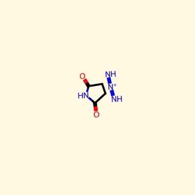 N=[N+]=N.O=C1CCC(=O)N1